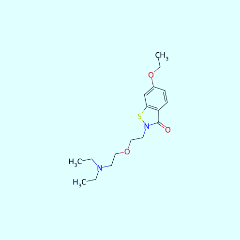 CCOc1ccc2c(=O)n(CCOCCN(CC)CC)sc2c1